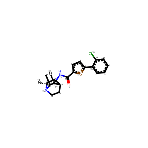 C[C@H]1[C@H](NC(=O)c2ccc(-c3ccccc3Cl)s2)C2CCN1CC2